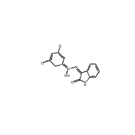 O=C1Nc2ccccc2C1=N[N+](O)=C1C=C(Cl)C=C(Cl)C1